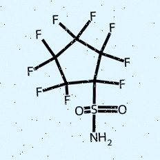 NS(=O)(=O)C1(F)C(F)(F)C(F)(F)C(F)(F)C1(F)F